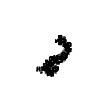 CCc1nc(C(N)=O)c(Nc2ccc(N3CCC(N4CCN(Cc5ccc6c(c5)CN(C5CCC(=O)NC5=O)C6=O)CC4)CC3)c(OC)c2)nc1NC1CCOCC1